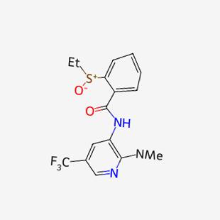 CC[S+]([O-])c1ccccc1C(=O)Nc1cc(C(F)(F)F)cnc1NC